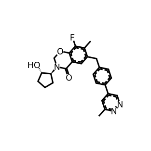 Cc1cc(-c2ccc(Cc3cc4c(c(F)c3C)OCN([C@H]3CCC[C@@H]3O)C4=O)cc2)cnn1